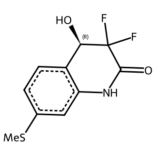 CSc1ccc2c(c1)NC(=O)C(F)(F)[C@@H]2O